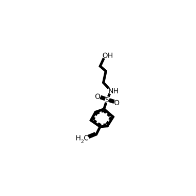 C=Cc1ccc(S(=O)(=O)NCCCO)cc1